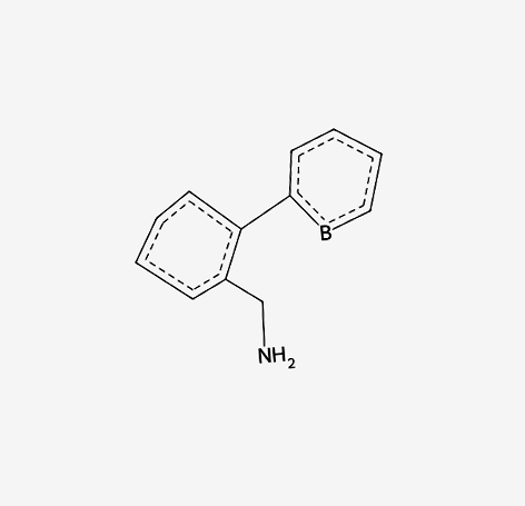 NCc1ccccc1-c1bcccc1